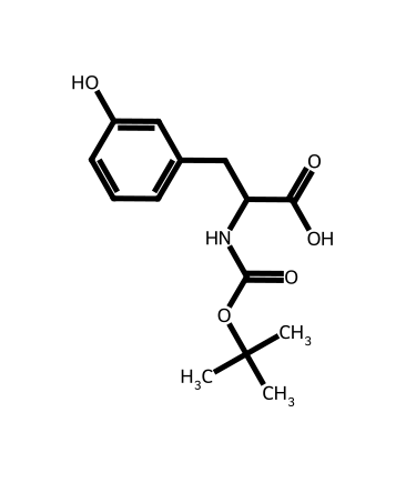 CC(C)(C)OC(=O)NC(Cc1cccc(O)c1)C(=O)O